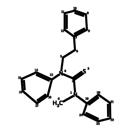 CN(C(=S)N(CCc1ccccc1)c1ccccc1)c1ccccc1